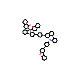 c1ccc(-c2ccccc2N(c2ccc(-c3ccc4oc5ccccc5c4c3)cc2)c2cccc(-c3ccc(-c4ccc5c(c4)C4(c6ccccc6-5)c5ccc6ccccc6c5Oc5c4ccc4ccccc54)cc3)c2)cc1